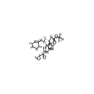 COCC(=O)NCc1noc([C@H](CCCC2CCCCC2)CC(=O)OC(C)(C)C)n1